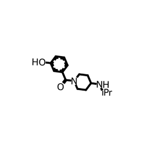 CC(C)NC1CCN(C(=O)c2cccc(O)c2)CC1